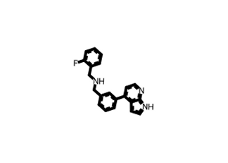 Fc1ccccc1CNCc1cccc(-c2ccnc3[nH]ccc23)c1